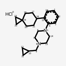 Cl.c1ccc(N2CCN(CC3CC3)CC2)c(C2CCC3(CC2)CC3)c1